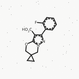 O=C(O)c1c(-c2ccccc2F)nn2c1OCC1(CC1)C2